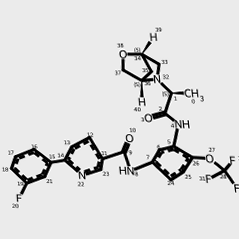 C[C@@H](C(=O)Nc1cc(NC(=O)c2ccc(-c3cccc(F)c3)nc2)ccc1OC(F)(F)F)N1C[C@@H]2C[C@H]1CO2